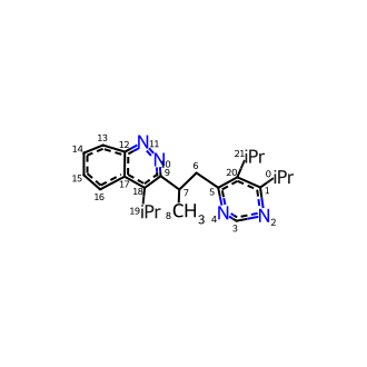 CC(C)c1ncnc(CC(C)c2nnc3ccccc3c2C(C)C)c1C(C)C